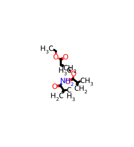 C=C(C)C(=O)OC.C=C(C)C(N)=O.C=CC(=O)OCC